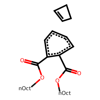 C1=CCC1.CCCCCCCCOC(=O)c1ccccc1C(=O)OCCCCCCCC